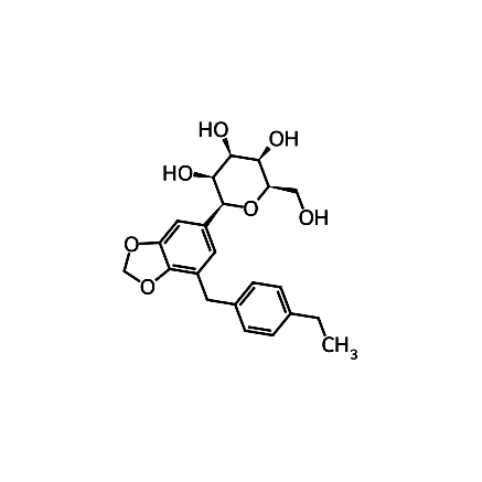 CCc1ccc(Cc2cc([C@@H]3O[C@H](CO)[C@H](O)[C@H](O)[C@@H]3O)cc3c2OCO3)cc1